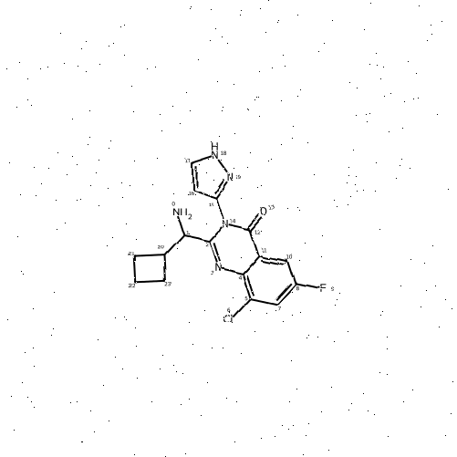 NC(c1nc2c(Cl)cc(F)cc2c(=O)n1-c1cc[nH]n1)C1CCC1